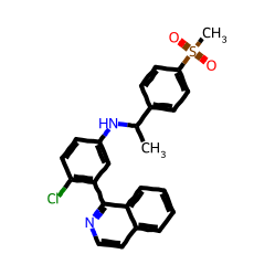 CC(Nc1ccc(Cl)c(-c2nccc3ccccc23)c1)c1ccc(S(C)(=O)=O)cc1